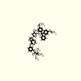 COc1ccc(C(OC[C@H]2O[C@@H](n3cnc4c(Sc5cccc(OC(=O)C(C)(C)C)c5)ncnc43)C[C@@H]2O)(c2ccccc2)c2ccc(OC)cc2)cc1